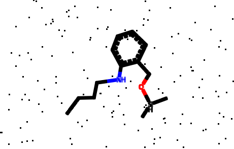 CCCCNc1ccccc1CO[SiH](C)C